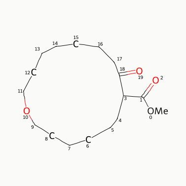 COC(=O)C1CCCCCCOCCCCCCCC1=O